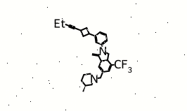 C=C1C2C=C(CN3CCC[C@H](C)C3)C=C(C(F)(F)F)C2CN1c1cccc(C2CC(C#CCC)C2)c1